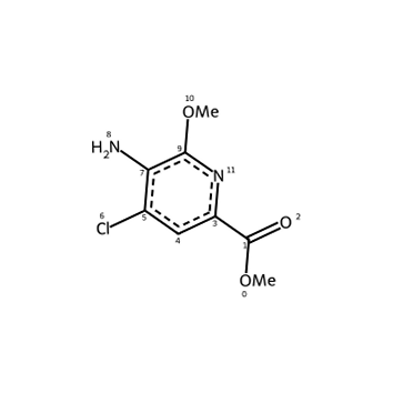 COC(=O)c1cc(Cl)c(N)c(OC)n1